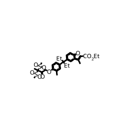 CCOC(=O)c1oc2ccc(C(CC)(CC)c3ccc(OCC(=O)C(C)(S(C)(=O)=O)S(C)(=O)=O)c(C)c3)cc2c1C